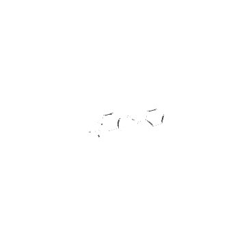 O=[N+]([O-])C1(O)C=CC(N=Nc2ccccc2)=C(O)C1